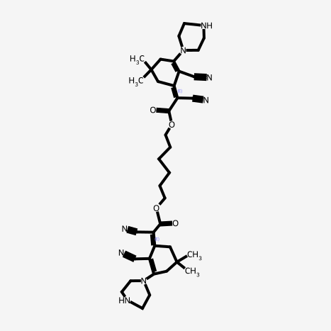 CC1(C)CC(N2CCNCC2)=C(C#N)/C(=C(\C#N)C(=O)OCCCCCCOC(=O)/C(C#N)=C2\CC(C)(C)CC(N3CCNCC3)=C2C#N)C1